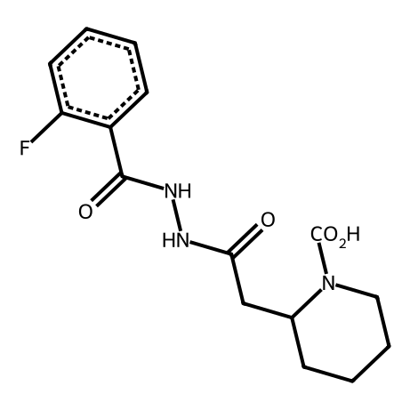 O=C(CC1CCCCN1C(=O)O)NNC(=O)c1ccccc1F